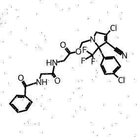 N#CC1=C(Cl)CN(COC(=O)CNC(=O)CNC(=O)c2ccccc2)C1(c1ccc(Cl)cc1)C(F)(F)F